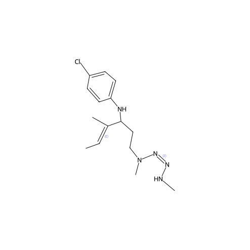 C/C=C(\C)C(CCN(C)/N=N\NC)Nc1ccc(Cl)cc1